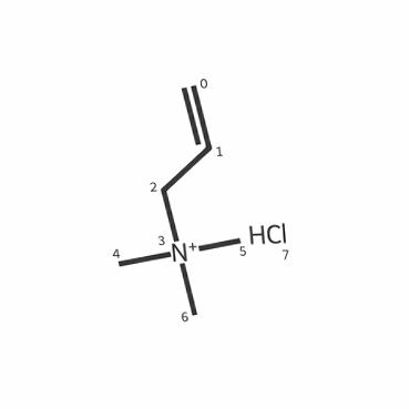 C=CC[N+](C)(C)C.Cl